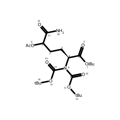 CC(=O)OC(CC[C@@H](C(=O)OCC(C)C)N(C(=O)OC(C)(C)C)C(=O)OC(C)(C)C)C(N)=O